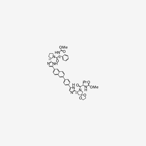 COC(=O)NC(C(=O)N1CC2(C[C@H]1c1ncc(-c3ccc(-c4ccc5cc(-c6cnc([C@@H]7CCCN7C(=O)[C@H](NC(=O)OC)c7ccccc7)[nH]6)ccc5c4)cc3)[nH]1)OCCO2)C(C)C